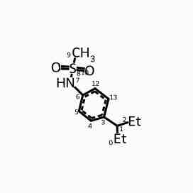 CCC(CC)c1ccc(NS(C)(=O)=O)cc1